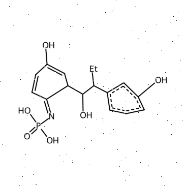 CCC(c1cccc(O)c1)C(O)C1C=C(O)C=CC1=NP(=O)(O)O